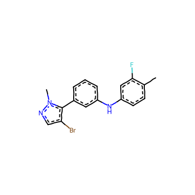 Cc1ccc(Nc2cccc(-c3c(Br)cnn3C)c2)cc1F